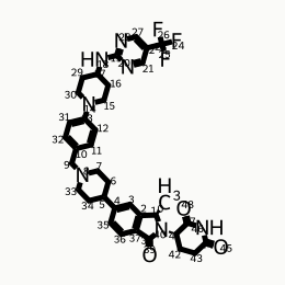 C[C@@H]1c2cc(C3CCN(Cc4ccc(N5CCC(Nc6ncc(C(F)(F)F)cn6)CC5)cc4)CC3)ccc2C(=O)N1[C@H]1CCC(=O)NC1=O